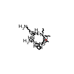 CCCC[C@H]1C(=O)N(C)[C@@H](CC(C)C)C(=O)NC(C2CCCCC2)C(=O)N[C@@H](CN)C(=O)N[C@@H](COCCCCN)C(=O)NCCN1CCCC